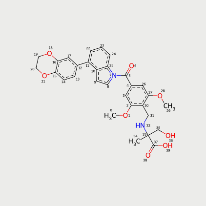 COc1cc(C(=O)n2ccc3c(-c4ccc5c(c4)OCCO5)cccc32)cc(OC)c1CNC(C)(CO)C(=O)O